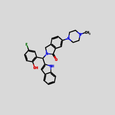 CN1CCN(c2ccc3c(c2)C(=O)N(C(c2cc4ccccc4[nH]2)c2cc(F)ccc2O)C3)CC1